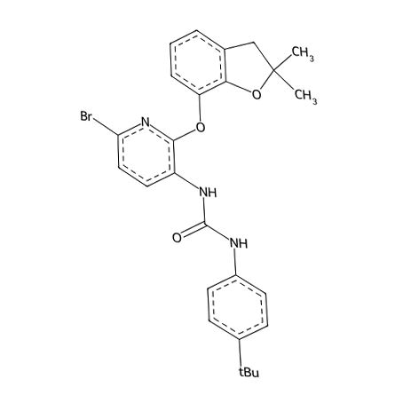 CC1(C)Cc2cccc(Oc3nc(Br)ccc3NC(=O)Nc3ccc(C(C)(C)C)cc3)c2O1